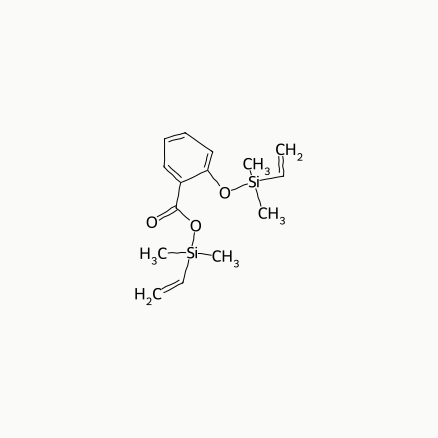 C=C[Si](C)(C)OC(=O)c1ccccc1O[Si](C)(C)C=C